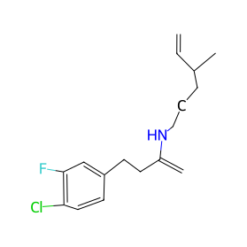 C=CC(C)CCCNC(=C)CCc1ccc(Cl)c(F)c1